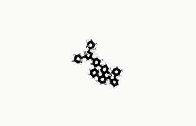 c1ccc(-c2ccccc2-c2nc3ccc(-c4ccc(-c5cc(-c6ccccn6)nc(-c6ccccn6)c5)cc4)cc3c3c(-c4ccccc4)cccc23)cc1